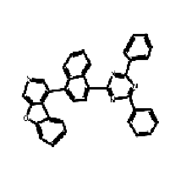 c1ccc(-c2nc(-c3ccccc3)nc(-c3ccc(-c4cncc5oc6ccccc6c45)c4ccccc34)n2)cc1